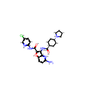 Nc1ccc2oc(C(=O)Nc3ccc(Cl)cn3)c(NC(=O)[C@H]3CC[C@H](N4CCCC4)CC3)c2n1